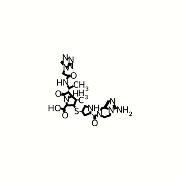 CC(NC(=O)Cn1cnnn1)[C@H]1C(=O)N2C(C(=O)O)C(S[C@@H]3CN[C@H](C(=O)N4CCn5c(cnc5N)C4)C3)[C@H](C)[C@H]12